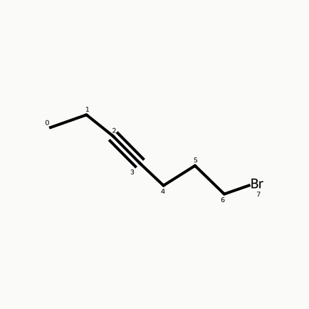 CCC#CCCCBr